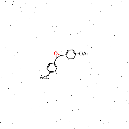 CC(=O)Oc1ccc(C2OC2c2ccc(OC(C)=O)cc2)cc1